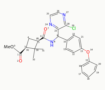 COC(=O)[C@H]1C[C@@H](C(=O)NC(c2ccc(Oc3ccccc3)cc2)c2nccnc2Cl)C1(C)C